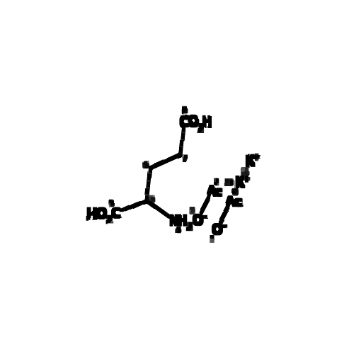 CC(=O)[O-].CC(=O)[O-].NC(CCC(=O)O)C(=O)O.[K+].[K+]